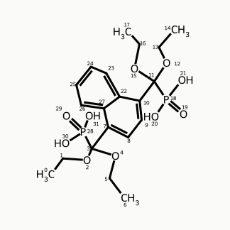 CCOC(OCC)(c1ccc(C(OCC)(OCC)P(=O)(O)O)c2ccccc12)P(=O)(O)O